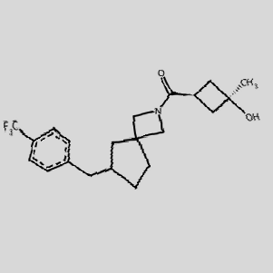 C[C@]1(O)C[C@@H](C(=O)N2CC3(CCC(Cc4ccc(C(F)(F)F)cc4)C3)C2)C1